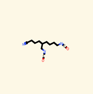 N#CCCCC(CCCCN=C=O)CN=C=O